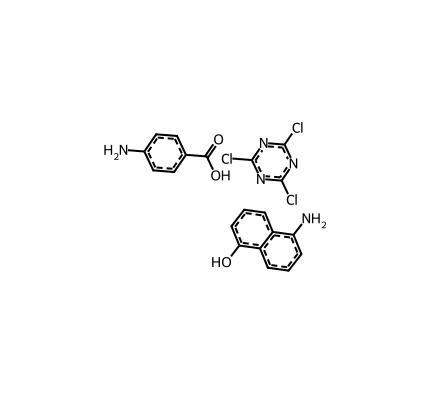 Clc1nc(Cl)nc(Cl)n1.Nc1ccc(C(=O)O)cc1.Nc1cccc2c(O)cccc12